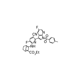 CCOC(=O)C1C2CCC(CC2)C1Nc1nc(-c2cn(S(=O)(=O)c3ccc(C)cc3)c3ncc(F)cc23)c(C#N)cc1F